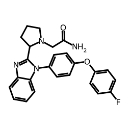 NC(=O)CN1CCCC1c1nc2ccccc2n1-c1ccc(Oc2ccc(F)cc2)cc1